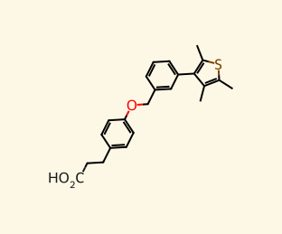 Cc1sc(C)c(-c2cccc(COc3ccc(CCC(=O)O)cc3)c2)c1C